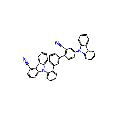 N#Cc1cc(-n2c3ccccc3c3ccccc32)ccc1-c1cccc(-c2ccccc2-n2c3ccccc3c3c(C#N)cccc32)c1